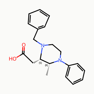 C[C@@H]1[C@H](CC(=O)O)N(Cc2ccccc2)CCN1c1ccccc1